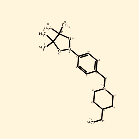 CC1(C)OB(c2ccc(CN3CCC(CO)CC3)cc2)OC1(C)C